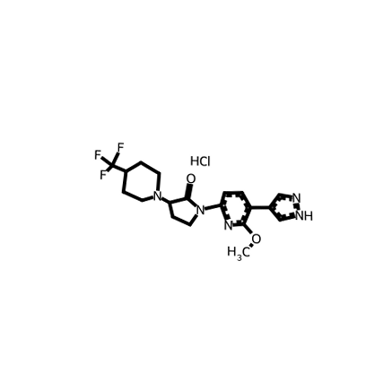 COc1nc(N2CCC(N3CCC(C(F)(F)F)CC3)C2=O)ccc1-c1cn[nH]c1.Cl